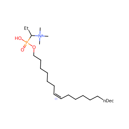 CCCCCCCCCCCCCCC/C=C\CCCCCCOP(=O)(O)C(CC)[N+](C)(C)C